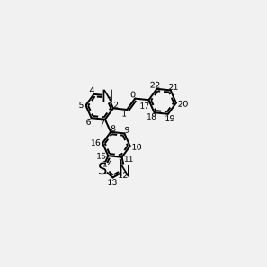 C(=Cc1ncccc1-c1ccc2ncsc2c1)c1ccccc1